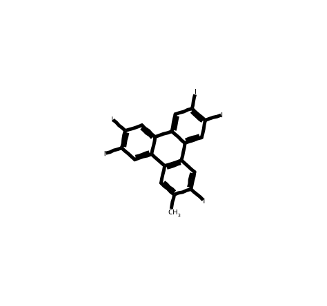 Cc1cc2c(cc1I)c1cc(I)c(I)cc1c1cc(I)c(I)cc21